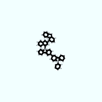 c1ccc(-n2c3ccccc3c3cc(-c4ccc5c(c4)c4ccccc4n5-c4cc(-c5cccc6c5-c5ccccc5C6)cc5ccccc45)ccc32)cc1